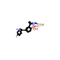 CC1c2cc(-c3c[nH]c4cc(F)ccc34)ccc2S(O)(O)N1CC(=O)O